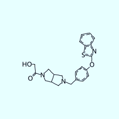 O=C(CO)N1CC2CN(Cc3ccc(Oc4nc5ccccc5s4)cc3)CC2C1